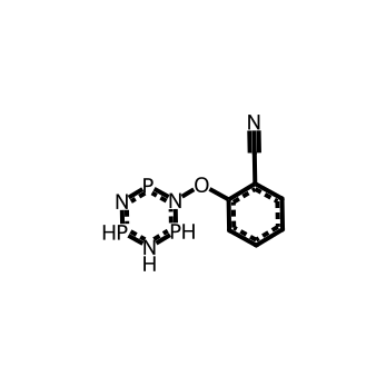 N#Cc1ccccc1On1pn[pH][nH][pH]1